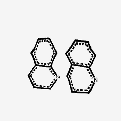 c1ccc2ncccc2c1.c1ccc2ncccc2c1